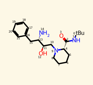 CC(C)(C)NC(=O)[C@@H]1CCCCN1C[C@@H](O)[C@@H](N)Cc1ccccc1